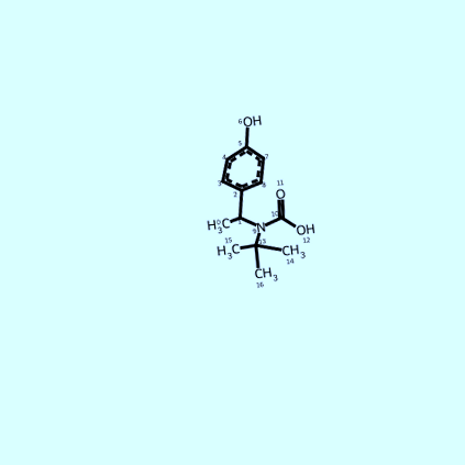 CC(c1ccc(O)cc1)N(C(=O)O)C(C)(C)C